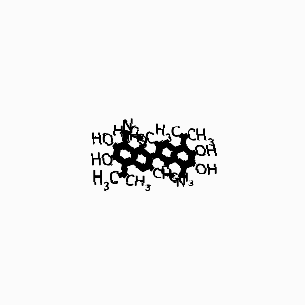 COc1c(-c2c(C)cc3c(C(C)C)c(O)c(O)c(C#N)c3c2OC)c(C)cc2c(C(C)C)c(O)c(O)c(C#N)c12